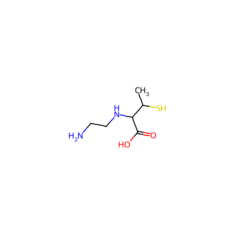 CC(S)C(NCCN)C(=O)O